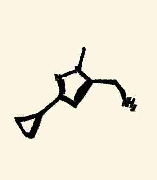 Cn1nc(C2CC2)cc1CN